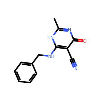 Cc1nc(=O)c(C#N)c(NCc2ccccc2)[nH]1